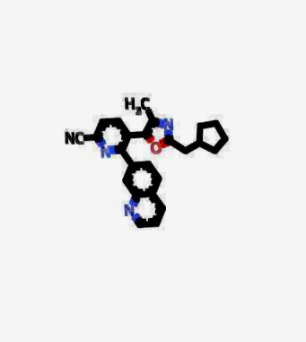 Cc1nc(CC2CCCC2)oc1-c1ccc(C#N)nc1-c1ccc2cccnc2c1